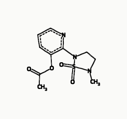 CC(=O)Oc1cccnc1N1CCN(C)S1(=O)=O